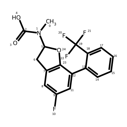 CN(C(=O)O)C1Cc2cc(F)cc(-c3ccccc3C(F)(F)F)c2O1